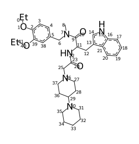 CCOc1ccc(CN(C)C(=O)C(Cc2c[nH]c3ccccc23)NC(=O)CN2CCC(N3CCCCC3)CC2)cc1OCC